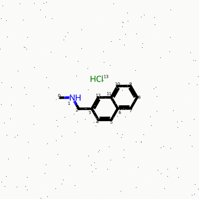 CNCc1ccc2ccccc2c1.Cl